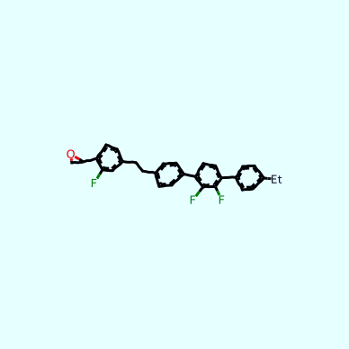 CCc1ccc(-c2ccc(-c3ccc(CCc4ccc(C5CO5)c(F)c4)cc3)c(F)c2F)cc1